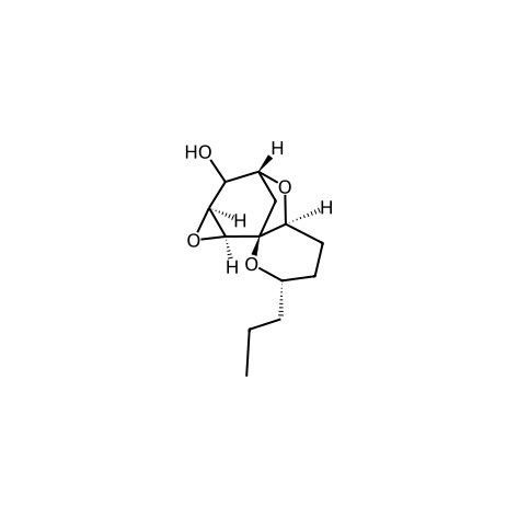 CCC[C@H]1CC[C@@H]2O[C@@H]3C[C@@]2(O1)[C@H]1O[C@H]1C3O